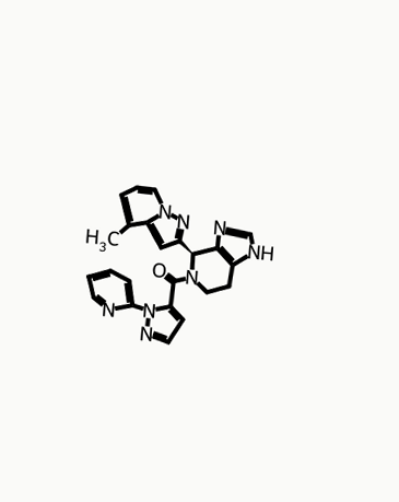 Cc1cccn2nc([C@H]3c4nc[nH]c4CCN3C(=O)c3ccnn3-c3ccccn3)cc12